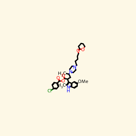 COc1ccc2[nH]c(C)c(C(CC(C)N3CCN(CCCCCOC4CCCCO4)CC3)C(=O)OC(=O)c3ccc(Cl)cc3)c2c1